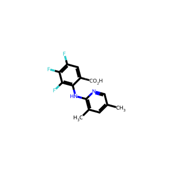 Cc1cnc(Nc2c(C(=O)O)cc(F)c(F)c2F)c(C)c1